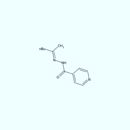 CCCCC(C)=NNC(=O)c1ccncc1